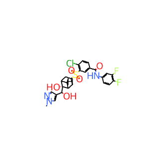 Cn1cc(C(O)[C@]2(O)C3CC(S(=O)(=O)c4cc(C(=O)Nc5ccc(F)c(F)c5)ccc4Cl)CC2[C@@H]3C)cn1